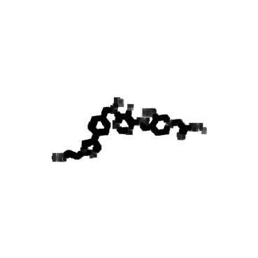 CCN(Cc1ccc(-c2cnn(CCO)c2)cc1)c1ncnc(NCC2CCN(CC(N)=O)CC2O)c1F